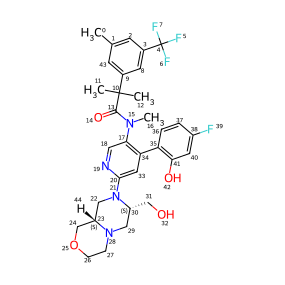 Cc1cc(C(F)(F)F)cc(C(C)(C)C(=O)N(C)c2cnc(N3C[C@H]4COCCN4C[C@H]3CO)cc2-c2ccc(F)cc2O)c1